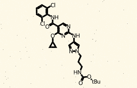 CC(C)(C)OC(=O)NCCCn1cc(Nc2ncc(C(=O)Nc3c(Cl)cccc3Cl)c(OC3CC3)n2)cn1